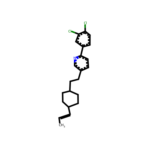 C/C=C/C1CCC(CCc2ccc(-c3ccc(Cl)c(Cl)c3)nc2)CC1